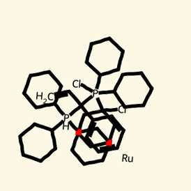 C=CC(c1ccccc1)([PH](C1CCCCC1)(C1CCCCC1)C1CCCCC1)P(Cl)(C1CCCCC1)(C1CCCCC1)C1(Cl)CCCCC1.[Ru]